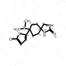 CN(C)C1(c2ccc(Cl)s2)CCC2(CC1)CNC(=O)N2